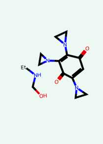 CCNCO.O=C1C=C(N2CC2)C(=O)C(N2CC2)=C1N1CC1